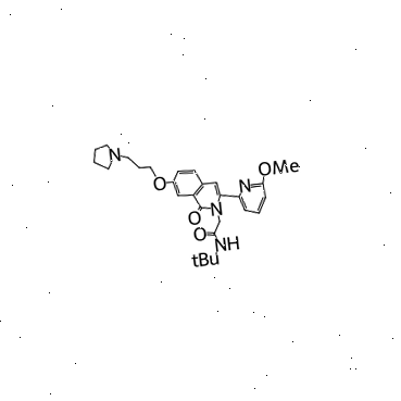 COc1cccc(-c2cc3ccc(OCCCN4CCCC4)cc3c(=O)n2CC(=O)NC(C)(C)C)n1